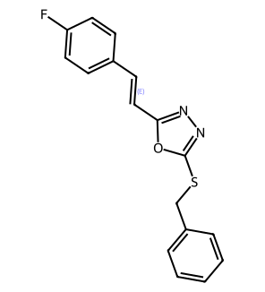 Fc1ccc(/C=C/c2nnc(SCc3ccccc3)o2)cc1